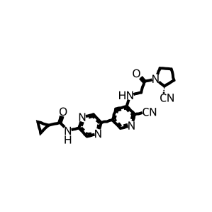 N#Cc1ncc(-c2cnc(NC(=O)C3CC3)cn2)cc1NCC(=O)N1CCC[C@@H]1C#N